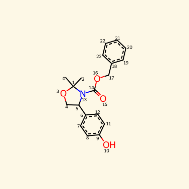 CC1(C)OCC(c2ccc(O)cc2)N1C(=O)OCc1ccccc1